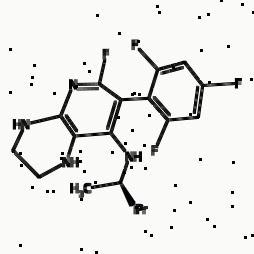 CC(C)[C@@H](C)Nc1c2c(nc(F)c1-c1c(F)cc(F)cc1F)NCCN2